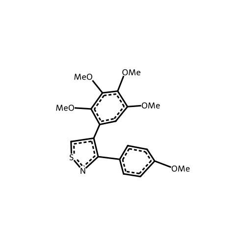 COc1ccc(-c2nscc2-c2cc(OC)c(OC)c(OC)c2OC)cc1